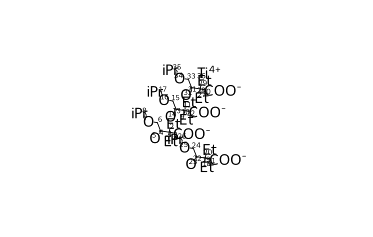 CCC(CC)(C(=O)[O-])C(=O)COC(C)C.CCC(CC)(C(=O)[O-])C(=O)COC(C)C.CCC(CC)(C(=O)[O-])C(=O)COC(C)C.CCC(CC)(C(=O)[O-])C(=O)COC(C)C.[Ti+4]